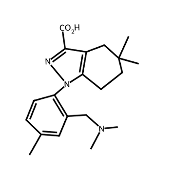 Cc1ccc(-n2nc(C(=O)O)c3c2CCC(C)(C)C3)c(CN(C)C)c1